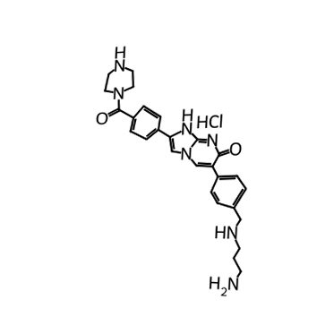 Cl.NCCCNCc1ccc(-c2cn3cc(-c4ccc(C(=O)N5CCNCC5)cc4)[nH]c3nc2=O)cc1